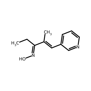 CCC(=NO)/C(C)=C/c1cccnc1